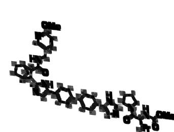 COC(=O)N[C@H](C(=O)N1CCC[C@H]1c1ncc(-c2ccc(-c3ccc(-c4cnc(C5C6CCC(C6)C5C(=O)NCc5ccc(OC)nc5)[nH]4)cc3)cc2)[nH]1)C(C)C